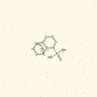 O=P(O)(O)c1cccc2c3ccc(cc3)c12